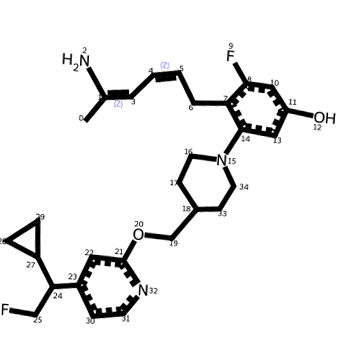 C/C(N)=C/C=C\Cc1c(F)cc(O)cc1N1CCC(COc2cc(C(CF)C3CC3)ccn2)CC1